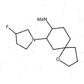 CNC1CCC2(CCCO2)CC1N1CCC(F)C1